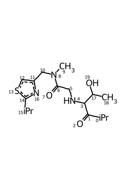 CC(C)C(=O)C(NCC(=O)N(C)Cc1csc(C(C)C)n1)C(C)O